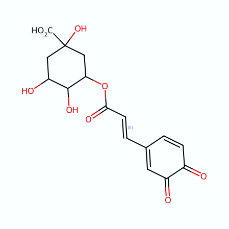 O=C(/C=C/C1=CC(=O)C(=O)C=C1)OC1CC(O)(C(=O)O)CC(O)C1O